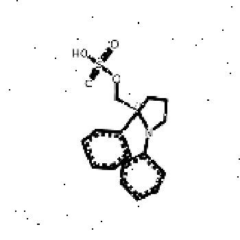 O=S(=O)(O)OC[C@@]1(c2ccccc2)CCCN1c1ccccc1